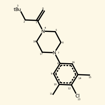 C=C(CC(C)(C)C)N1CCN(c2cc(C)c(Cl)c(C)c2)CC1